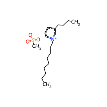 CCCCCCCCC[n+]1cccc(CCCC)c1.CS(=O)(=O)[O-]